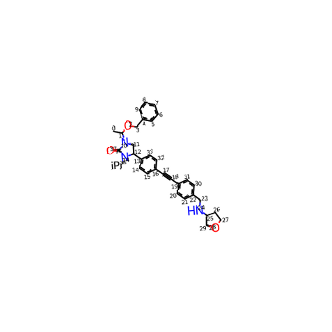 CC(OCc1ccccc1)N1CC(c2ccc(C#Cc3ccc(CNC4CCOC4)cc3)cc2)N(C(C)C)C1=O